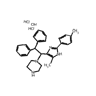 Cc1ccc(-c2nc(C(C(c3ccccc3)c3ccccc3)N3CCNCC3)c(C)[nH]2)cc1.Cl.Cl.Cl